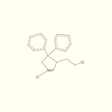 [O-][NH+]1CC(CCCl)C(c2ccccc2)(c2ccccc2)C1